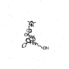 Cc1cc(C)n(Cc2ccc(C(=O)Nc3ccc(Cl)cc3C(=O)NCCCCO)o2)n1